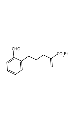 C=C(CCCc1ccccc1C=O)C(=O)OCC